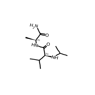 CC(C)N[C@H](C(=O)N[C@@H](C)C(N)=O)C(C)C